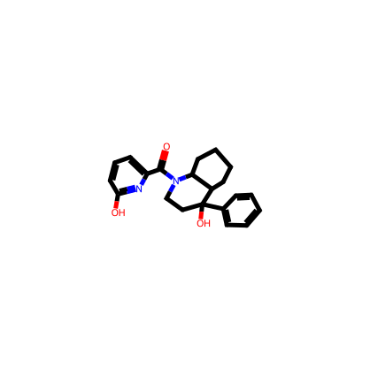 O=C(c1cccc(O)n1)N1CCC(O)(c2ccccc2)C2CCCCC21